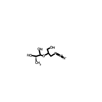 C[C@@H](O)C(O)OC(CO)CN=[N+]=[N-]